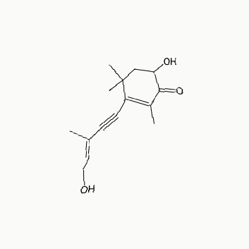 CC1=C(C#C/C(C)=C/CO)C(C)(C)CC(O)C1=O